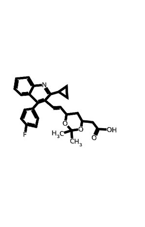 CC1(C)OC(C=Cc2c(C3CC3)nc3ccccc3c2-c2ccc(F)cc2)CC(CC(=O)O)O1